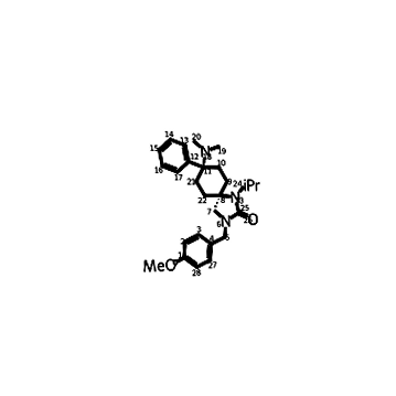 COc1ccc(CN2C[C@]3(CC[C@](c4ccccc4)(N(C)C)CC3)N(C(C)C)C2=O)cc1